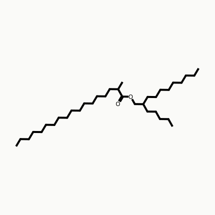 CCCCCCCCCCCCCCCCC(C)C(=O)OCC(CCCCC)CCCCCCCCC